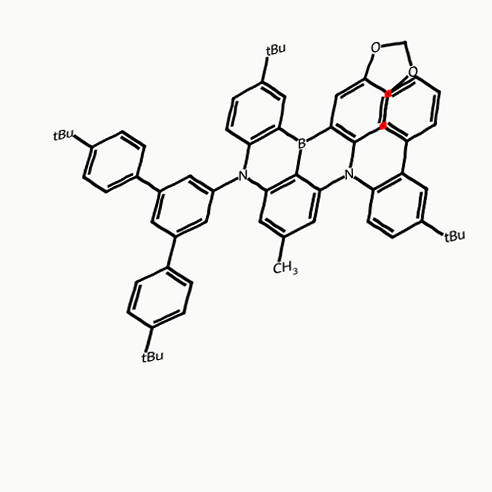 Cc1cc2c3c(c1)N(c1ccc(C(C)(C)C)cc1-c1ccccc1)c1cc4c(cc1B3c1cc(C(C)(C)C)ccc1N2c1cc(-c2ccc(C(C)(C)C)cc2)cc(-c2ccc(C(C)(C)C)cc2)c1)OCO4